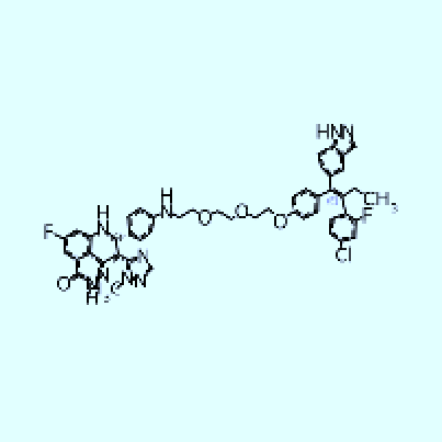 CC/C(=C(/c1ccc(OCCOCCOCCNc2ccc([C@H]3Nc4cc(F)cc5c(=O)[nH]nc(c45)[C@@H]3c3ncnn3C)cc2)cc1)c1ccc2[nH]ncc2c1)c1ccc(Cl)cc1F